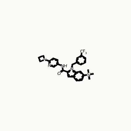 C[Si](C)(C)c1ccc2cc(C(=O)Nc3ccc(N4CCC4)nc3)n(Cc3cccc(C(F)(F)F)c3)c2c1